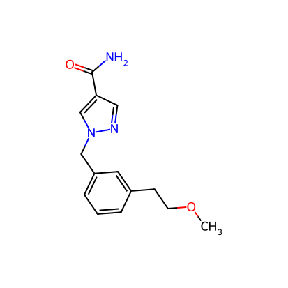 COCCc1cccc(Cn2cc(C(N)=O)cn2)c1